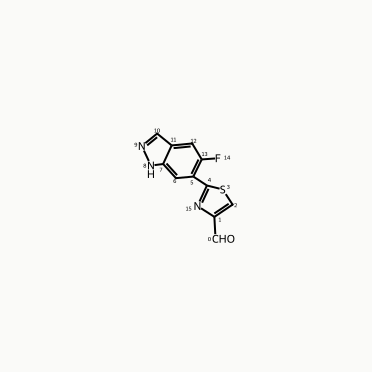 O=Cc1csc(-c2cc3[nH]ncc3cc2F)n1